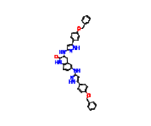 O=C1Nc2ccc(Nc3cc(-c4ccc(OCc5ccccc5)cc4)[nH]n3)cc2CC1Nc1cc(-c2ccc(OCc3ccccc3)cc2)[nH]n1